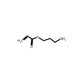 C=CC(=O)OCCC[SiH3]